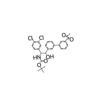 CC(C)(C)OC(=O)NC(c1ccc(Cl)c(Cl)c1)C(O)c1cccc(-c2cccc(S(C)(=O)=O)c2)c1